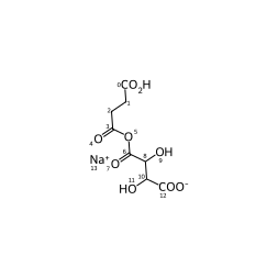 O=C(O)CCC(=O)OC(=O)C(O)C(O)C(=O)[O-].[Na+]